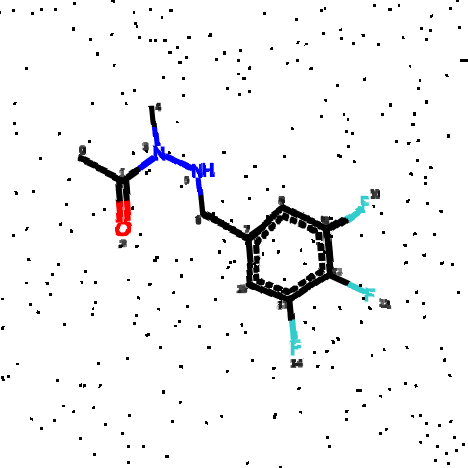 CC(=O)N(C)NCc1cc(F)c(F)c(F)c1